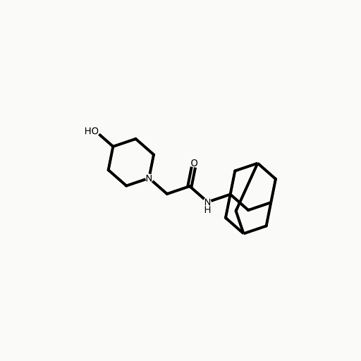 O=C(CN1CCC(O)CC1)NC12CC3CC(CC(C3)C1)C2